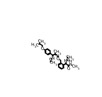 CNC(=O)C(=NOC)c1ccccc1CON=C(C)C(=NOC)c1ccc(OCC(C)C)cc1